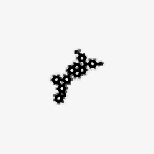 CC(C)c1ccc(N(c2ccc(C(C)C)cc2)c2ccc3ccc4c(-c5ccc6c(c5)c5ccccc5c5cc7c(cc65)sc5ccccc57)ccc5ccc2c3c54)cc1